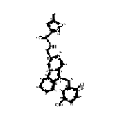 Cc1cc(C(=O)NCc2cc3c4ccccc4n(Cc4cc(Cl)ccc4Cl)c3cn2)no1